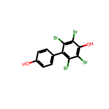 Oc1ccc(-c2c(Br)c(Br)c(O)c(Br)c2Br)cc1